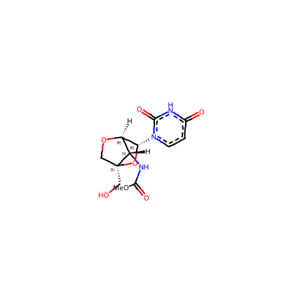 COC(=O)N[C@H]1[C@H]2OC[C@]1(CO)O[C@H]2n1ccc(=O)[nH]c1=O